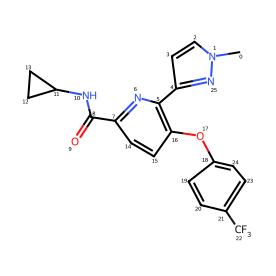 Cn1ccc(-c2nc(C(=O)NC3CC3)ccc2Oc2ccc(C(F)(F)F)cc2)n1